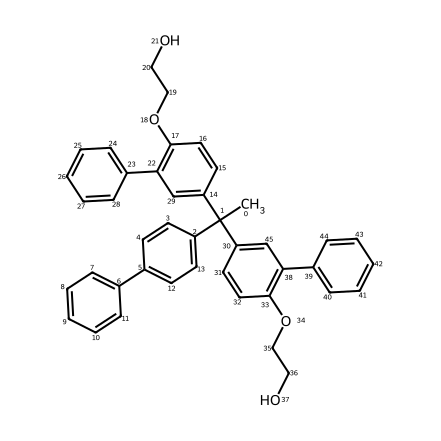 CC(c1ccc(-c2ccccc2)cc1)(c1ccc(OCCO)c(-c2ccccc2)c1)c1ccc(OCCO)c(-c2ccccc2)c1